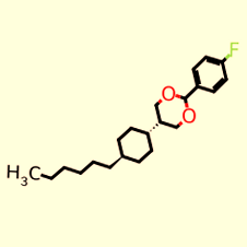 CCCCCC[C@H]1CC[C@H](C2COC(c3ccc(F)cc3)OC2)CC1